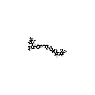 Cn1cc(-c2cc(S(C)(=O)=O)ccc2Oc2cccc(CCCC3CCN(c4ncc(C(=O)NC5C(C)(C)C(Oc6ccc(C#N)c(Cl)c6)C5(C)C)cn4)CC3)c2)c2cc[nH]c2c1=O